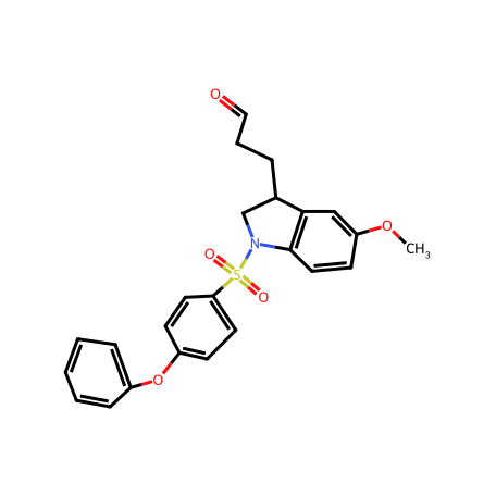 COc1ccc2c(c1)C(CCC=O)CN2S(=O)(=O)c1ccc(Oc2ccccc2)cc1